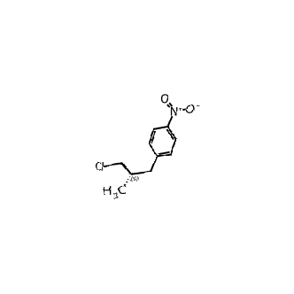 C[C@H](CCl)Cc1ccc([N+](=O)[O-])cc1